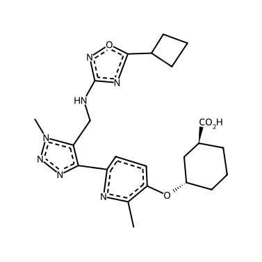 Cc1nc(-c2nnn(C)c2CNc2noc(C3CCC3)n2)ccc1O[C@H]1CCC[C@H](C(=O)O)C1